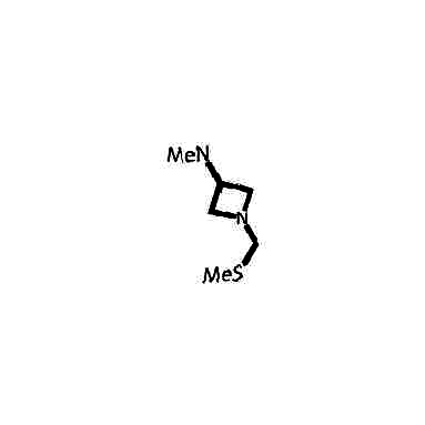 CNC1CN(CSC)C1